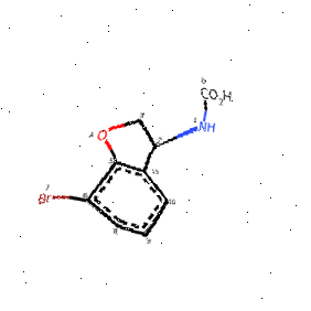 O=C(O)N[C@@H]1COc2c(Br)cccc21